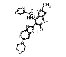 CC(Nc1c(-c2nc3cnc(N4CCOCC4)cc3[nH]2)c(=O)[nH]c2cn(C)nc12)c1cocn1